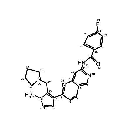 Cn1ncc(-c2ccc3cnc(NC(=O)c4ccc(F)cc4)cc3n2)c1CN1CCCC1